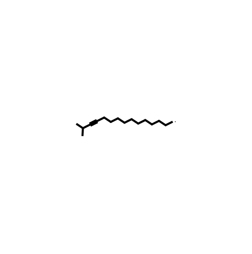 [CH2]CCCCCCCCCCC#CC(C)C